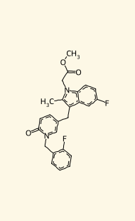 COC(=O)Cn1c(C)c(Cc2ccc(=O)n(Cc3ccccc3F)c2)c2cc(F)ccc21